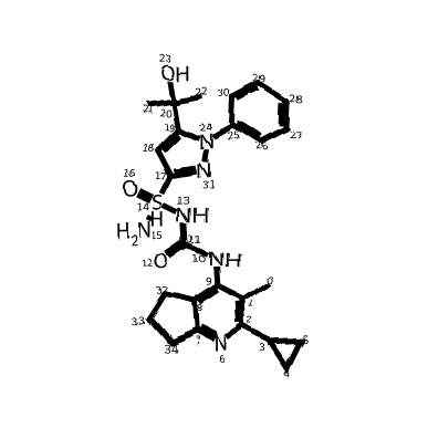 Cc1c(C2CC2)nc2c(c1NC(=O)N[SH](N)(=O)c1cc(C(C)(C)O)n(-c3ccccc3)n1)CCC2